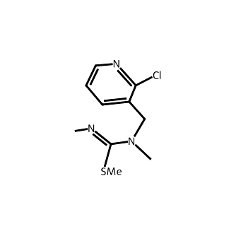 CN=C(SC)N(C)Cc1cccnc1Cl